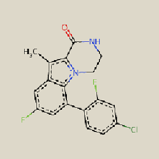 Cc1c2n(c3c(-c4ccc(Cl)cc4F)cc(F)cc13)CCNC2=O